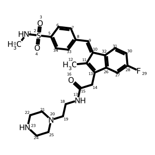 CNS(=O)(=O)c1ccc(C=C2C(C)=C(CC(=O)NCCN3CCNCC3)c3cc(F)ccc32)cc1